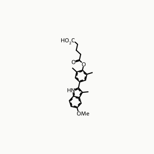 COc1ccc2[nH]c(-c3cc(C)c(OC(=O)CCCC(=O)O)c(C)c3)c(C)c2c1